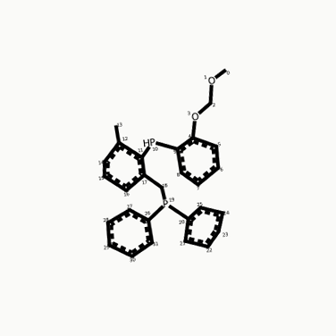 COCOc1ccccc1Pc1c(C)cccc1CP(c1ccccc1)c1ccccc1